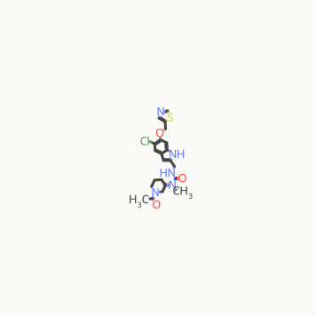 CC(=O)N1CCC[C@@H](N(C)C(=O)NCc2cc3cc(Cl)c(OCc4cncs4)cc3[nH]2)C1